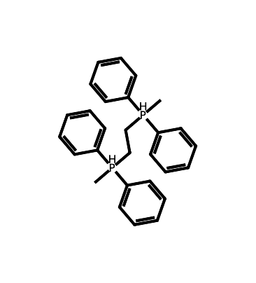 C[PH](CC[PH](C)(c1ccccc1)c1ccccc1)(c1ccccc1)c1ccccc1